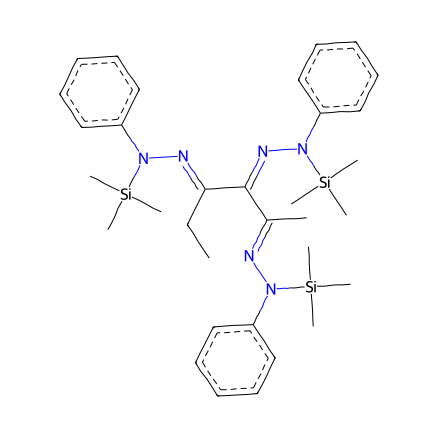 CCC(=NN(c1ccccc1)[Si](C)(C)C)C(=NN(c1ccccc1)[Si](C)(C)C)C(C)=NN(c1ccccc1)[Si](C)(C)C